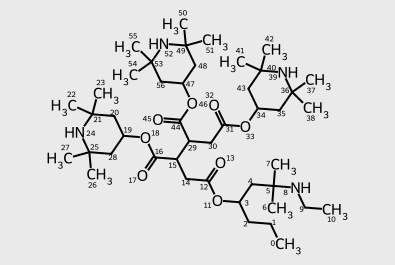 CCCC(CC(C)(C)NCC)OC(=O)CC(C(=O)OC1CC(C)(C)NC(C)(C)C1)C(CC(=O)OC1CC(C)(C)NC(C)(C)C1)C(=O)OC1CC(C)(C)NC(C)(C)C1